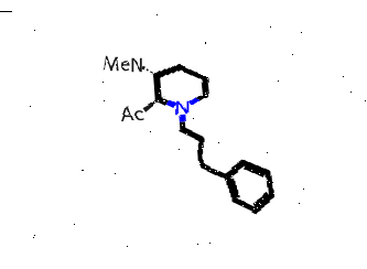 CN[C@@H]1CCCN(CCCc2ccccc2)[C@H]1C(C)=O